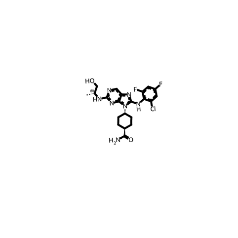 C[C@H](CO)Nc1ncc2nc(Nc3c(F)cc(F)cc3Cl)n([C@H]3CC[C@H](C(N)=O)CC3)c2n1